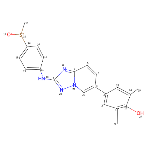 Cc1cc(-c2ccc3nc(Nc4ccc([S+](C)[O-])cc4)nn3c2)cc(C)c1O